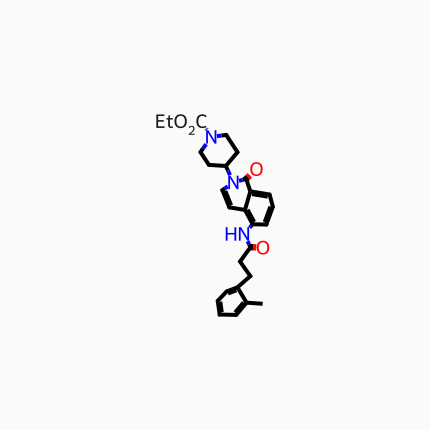 CCOC(=O)N1CCC(n2ccc3c(NC(=O)CCc4ccccc4C)cccc3c2=O)CC1